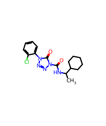 CC(NC(=O)n1nnn(-c2ccccc2Cl)c1=O)C1CCCCC1